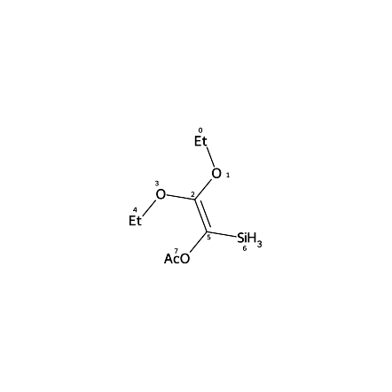 CCOC(OCC)=C([SiH3])OC(C)=O